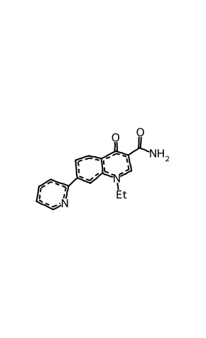 CCn1cc(C(N)=O)c(=O)c2ccc(-c3ccccn3)cc21